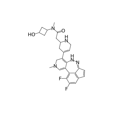 CN1C=C2C(=C(C3=CCNC(CC(=O)N(C)C4CC(O)C4)C3)C1)NN=C1C=Cc3cc(F)c(F)c2c31